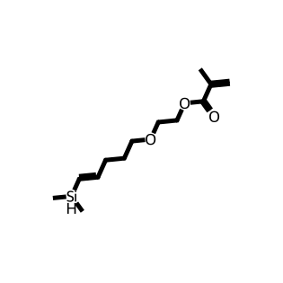 C=C(C)C(=O)OCCOCCCC=C[SiH](C)C